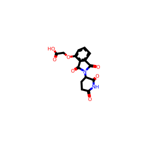 O=C(O)COc1cccc2c1C(=O)N(C1CCC(=O)NC1=O)C2=O